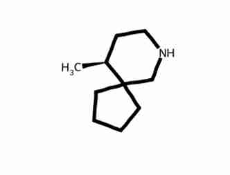 C[C@H]1CCNCC12CCCC2